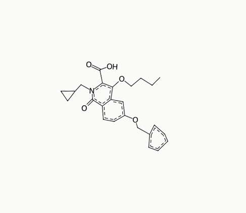 CCCCOc1c(C(=O)O)n(CC2CC2)c(=O)c2ccc(OCc3ccccc3)cc12